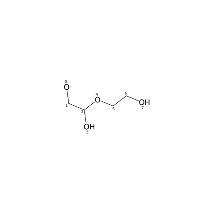 [O]CC(O)OCCO